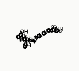 CCc1cccc2cc(O)cc(-c3ncc4c(N5CC6CCC(C5)N6)nc(OCC5(CN6CC7(CCN(C8CCN(c9ccc%10c(c9)CN(C9CCC(=O)NC9=O)C%10=O)CC8)CC7)C6)CC5)nc4c3F)c12